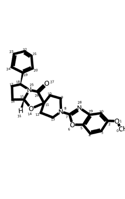 COc1ccc2oc(N3CCC4(CC3)O[C@@H]3CC[C@@H](c5ccccc5)N3C4=O)nc2c1